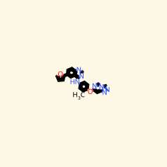 Cc1cc(Nc2ncnc3ccc(-c4ccco4)cc23)ccc1Oc1cc2nncn2cn1